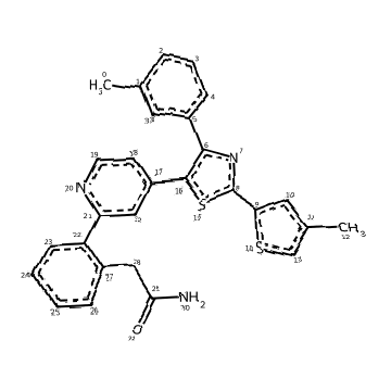 Cc1cccc(-c2nc(-c3cc(C)cs3)sc2-c2ccnc(-c3ccccc3CC(N)=O)c2)c1